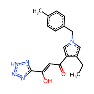 CCc1cn(Cc2ccc(C)cc2)cc1C(=O)C=C(O)c1nn[nH]n1